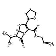 C=CCOC(=O)C1=C(C2CCCO2)SC2C(C(C)O)C(=O)N12